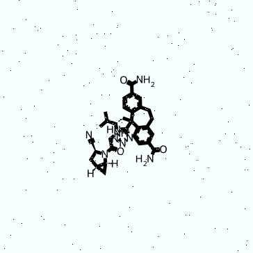 CC(C)[C@H](CC1(c2nnn[nH]2)c2ccc(C(N)=O)cc2CCc2cc(C(N)=O)ccc21)NCC(=O)N1[C@H](C#N)C[C@@H]2C[C@@H]21